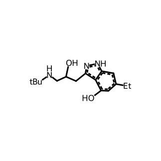 CCc1cc(O)c2c(CC(O)CNC(C)(C)C)n[nH]c2c1